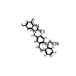 CCc1nc2c(C)cc(C)cc2n1Cc1ccc2c(c1)CCc1ccccc1N2CC#N